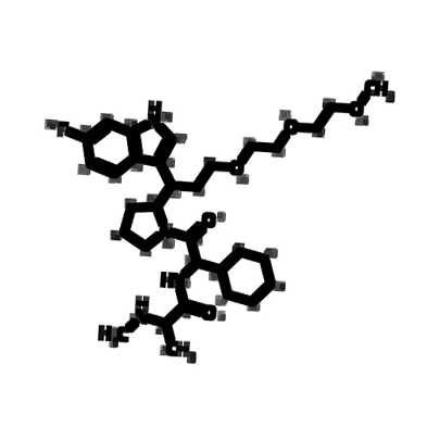 CNC(C)C(=O)NC(C(=O)N1CCCC1C(CCOCCOCCOC)c1c[nH]c2cc(F)ccc12)C1CCCCC1